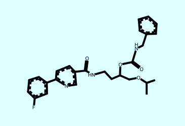 CC(C)OCC(CCNC(=O)c1ccc(-c2cccc(F)c2)nc1)OC(=O)NCc1ccccc1